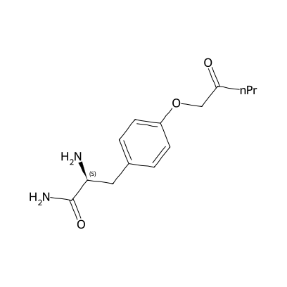 CCCC(=O)COc1ccc(C[C@H](N)C(N)=O)cc1